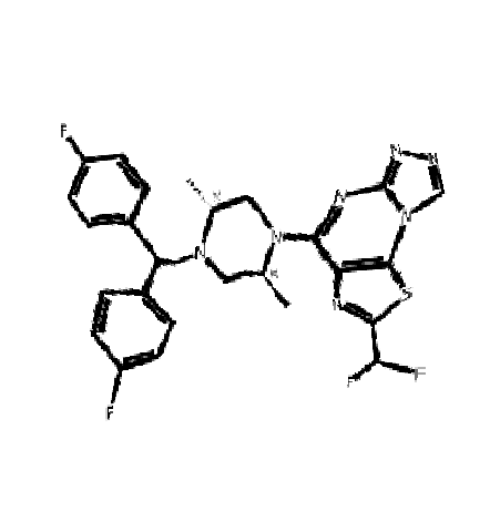 C[C@@H]1CN(c2nc3nncn3c3sc(C(F)F)nc23)[C@@H](C)CN1C(c1ccc(F)cc1)c1ccc(F)cc1